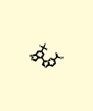 O=C(O)c1ccc2ncc(-c3cc(C(F)(F)F)cc4[nH]ncc34)n2n1